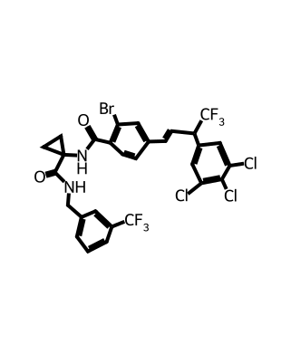 O=C(NC1(C(=O)NCc2cccc(C(F)(F)F)c2)CC1)c1ccc(/C=C/C(c2cc(Cl)c(Cl)c(Cl)c2)C(F)(F)F)cc1Br